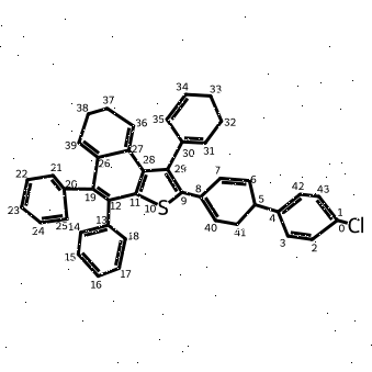 Clc1ccc(C2C=CC(c3sc4c(-c5ccccc5)c(-c5ccccc5)c5c(c4c3C3=CCCC=C3)=CCCC=5)=CC2)cc1